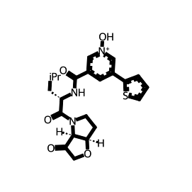 CC(C)C[C@H](NC(=O)c1cc(-c2cccs2)c[n+](O)c1)C(=O)N1CC[C@H]2OCC(=O)[C@H]21